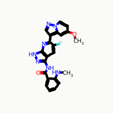 CNc1ccccc1C(=O)Nc1n[nH]c2nc(-c3cnn4ccc(OC)cc34)c(F)cc12